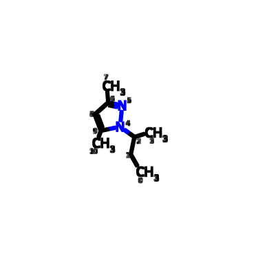 CCC(C)n1nc(C)cc1C